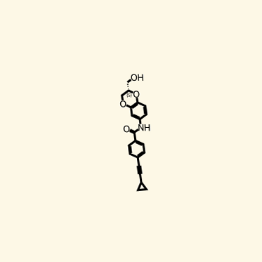 O=C(Nc1ccc2c(c1)OC[C@H](CO)O2)c1ccc(C#CC2CC2)cc1